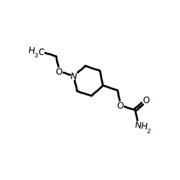 CCON1CCC(COC(N)=O)CC1